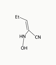 CC/C=C(/C#N)NO